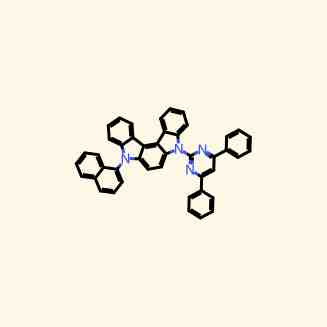 c1ccc(-c2cc(-c3ccccc3)nc(-n3c4ccccc4c4c5c6ccccc6n(-c6cccc7ccccc67)c5ccc43)n2)cc1